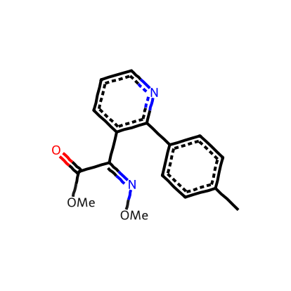 CON=C(C(=O)OC)c1cccnc1-c1ccc(C)cc1